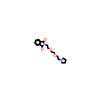 O=C1c2ccccc2C(=O)N1CCOCCOCCN1CCCC1